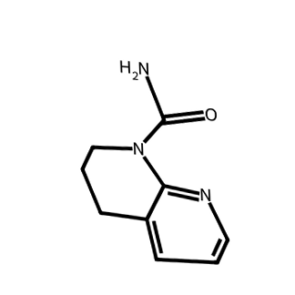 NC(=O)N1CCCc2cccnc21